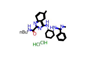 CCCCNC(=O)c1nc(N[C@H]2CCCC[C@H]2N/C(=N/C)c2ccccc2)c2cc(C)ccc2n1.Cl.Cl